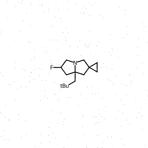 CC(C)(C)CC12CC(F)CN1CC1(CC1)C2